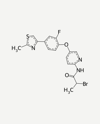 Cc1nc(-c2ccc(Oc3ccc(NC(=O)C(C)Br)nc3)c(F)c2)cs1